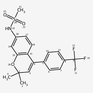 CC1(C)C=C(c2ccc(C(F)(F)F)cc2)c2ccc(NS(C)(=O)=O)cc2O1